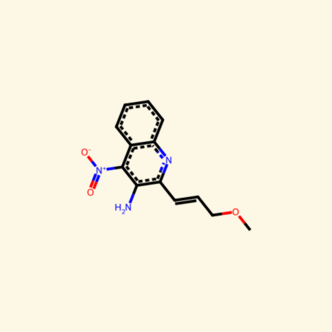 COCC=Cc1nc2ccccc2c([N+](=O)[O-])c1N